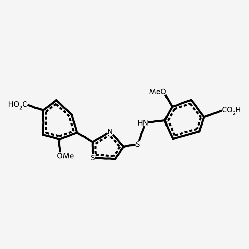 COc1cc(C(=O)O)ccc1NSc1csc(-c2ccc(C(=O)O)cc2OC)n1